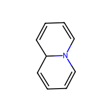 C1=CC2C=CC=CN2C=C1